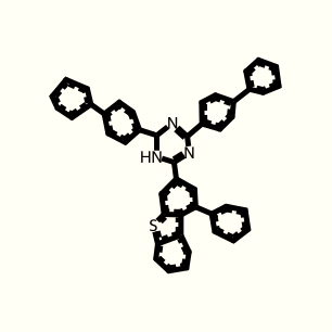 c1ccc(-c2ccc(C3=NC(c4ccc(-c5ccccc5)cc4)NC(c4cc(-c5ccccc5)c5c(c4)sc4ccccc45)=N3)cc2)cc1